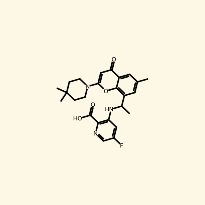 Cc1cc(C(C)Nc2cc(F)cnc2C(=O)O)c2oc(N3CCC(C)(C)CC3)cc(=O)c2c1